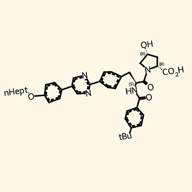 CCCCCCCOc1ccc(-c2cnc(-c3ccc(C[C@H](NC(=O)c4ccc(C(C)(C)C)cc4)C(=O)N4C[C@H](O)C[C@@H]4C(=O)O)cc3)nc2)cc1